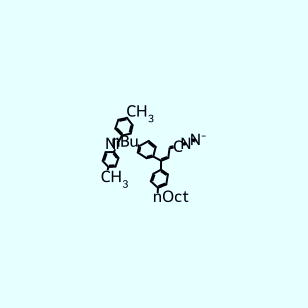 CCCCCCCCc1ccc(C(=CC=C=[N+]=[N-])c2ccc(CCCC)cc2)cc1.Cc1cc[c]([Ni][c]2ccc(C)cc2)cc1